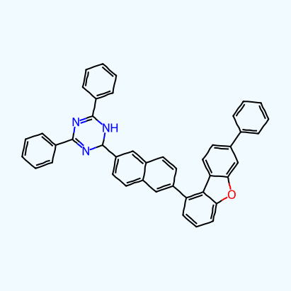 c1ccc(C2=NC(c3ccc4cc(-c5cccc6oc7cc(-c8ccccc8)ccc7c56)ccc4c3)NC(c3ccccc3)=N2)cc1